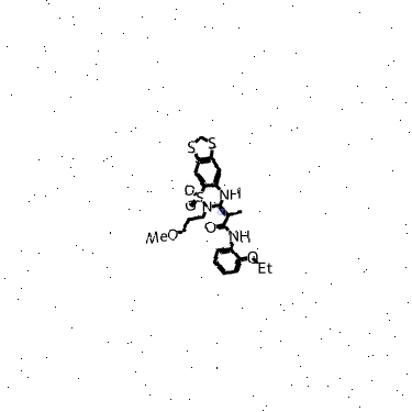 CCOc1ccccc1NC(=O)/C(C)=C1/Nc2cc3c(cc2S(=O)(=O)N1CCCOC)SCS3